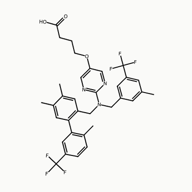 Cc1cc(CN(Cc2cc(C)c(C)cc2-c2cc(C(F)(F)F)ccc2C)c2ncc(OCCCC(=O)O)cn2)cc(C(F)(F)F)c1